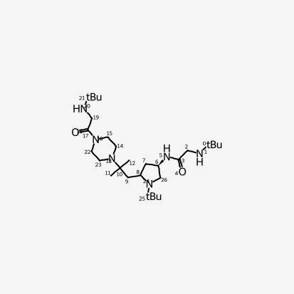 CC(C)(C)NCC(=O)N[C@@H]1CC(CC(C)(C)N2CCN(C(=O)CNC(C)(C)C)CC2)N(C(C)(C)C)C1